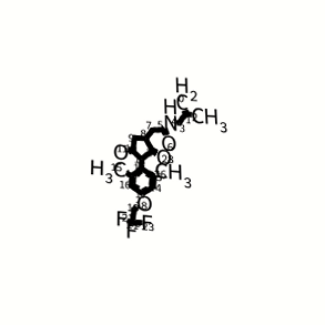 C=C(C)CNC(=O)CC1CC(=O)C(c2c(C)cc(OCC(F)(F)F)cc2C)C1=O